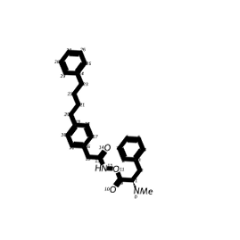 CN[C@@H](Cc1ccccc1)C(=O)ONC(=O)Cc1ccc(CCCCc2ccccc2)cc1